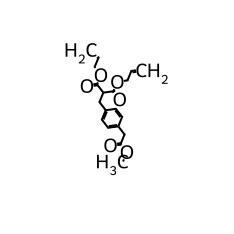 C=CCOC(=O)C(Cc1ccc(CC(=O)OC)cc1)C(=O)OCC=C